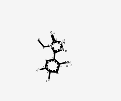 CCn1c(-c2cc(F)c(F)cc2N)n[nH]c1=S